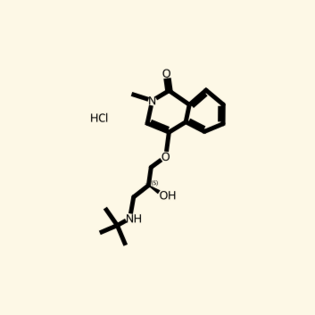 Cl.Cn1cc(OC[C@@H](O)CNC(C)(C)C)c2ccccc2c1=O